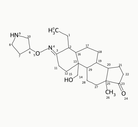 CCC1C(=NOC2CCNC2)CCC2(CO)C1CCC1C3CCC(=O)C3(C)CCC12